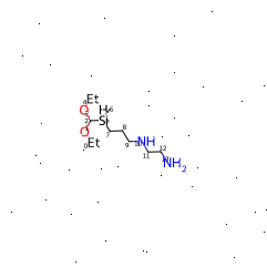 CCOC(OCC)[SiH](C)CCCNCCN